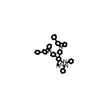 N#Cc1cc(-c2ccc(-n3c4ccccc4c4cc(-c5ccccc5)ccc43)cc2)c(-c2ccc(-n3c4ccccc4c4cc(-c5ccccc5)ccc43)cc2)cc1-c1nc(-c2ccccc2)nc(-c2ccccc2)n1